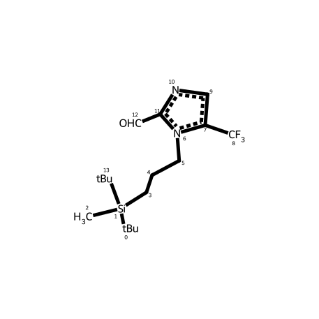 CC(C)(C)[Si](C)(CCCn1c(C(F)(F)F)cnc1C=O)C(C)(C)C